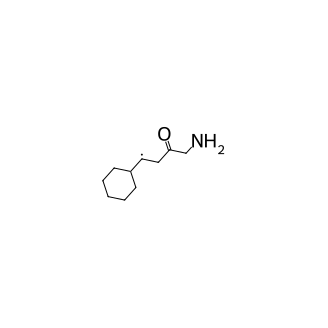 NCC(=O)C[CH]C1CCCCC1